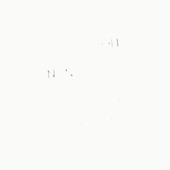 CCC(CO)n1ncc2ccc(C(C)(C)C)cc21